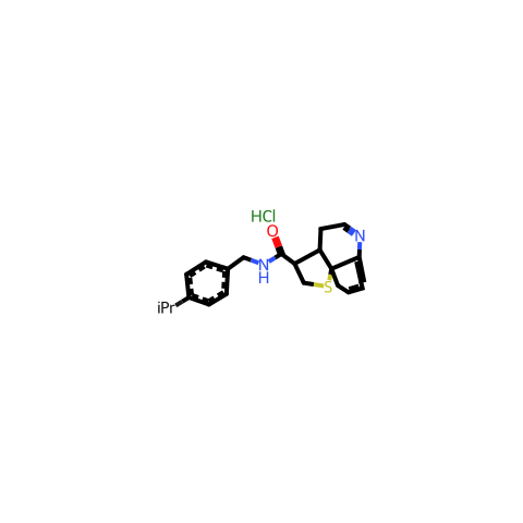 CC(C)c1ccc(CNC(=O)C2CSC34CC=CC=C3N=CCC24)cc1.Cl